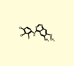 COc1cc2ncnc(Nc3ccc(Cl)c(Cl)c3F)c2cc1N